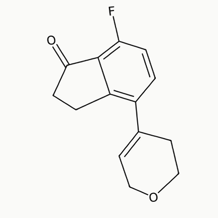 O=C1CCc2c(C3=CCOCC3)ccc(F)c21